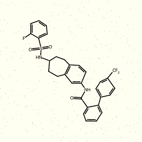 O=C(Nc1ccc2c(c1)CCC(NS(=O)(=O)c1ccccc1F)CC2)c1ccccc1-c1ccc(C(F)(F)F)cc1